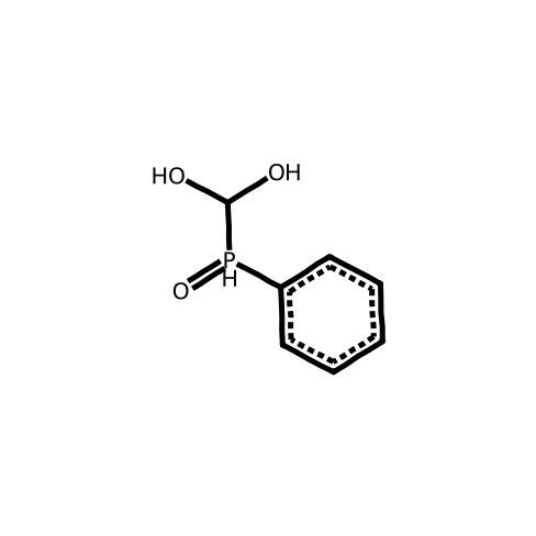 O=[PH](c1ccccc1)C(O)O